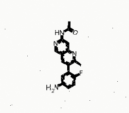 CC(=O)Nc1cc2nc(C)c(-c3cc(N)ccc3F)cc2cn1